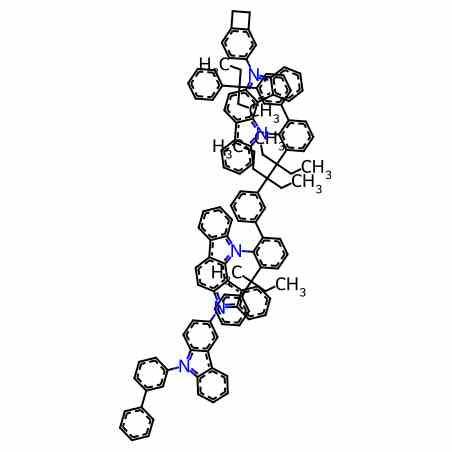 CCCC(CC)(c1cccc(-c2cccc(C(C)(CC)c3ccccc3)c2-n2c3ccccc3c3ccc4c(c5ccccc5n4-c4ccc5c(c4)c4ccccc4n5-c4cccc(-c5ccccc5)c4)c32)c1)C(CC)(CC)c1cccc(-c2cccc(C(CC)(CC)c3ccccc3)c2)c1-n1c2ccccc2c2ccc3c(c4ccccc4n3-c3ccc4c(c3)CC4)c21